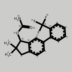 CC1(C)Cc2ccc(-c3ccccc3C(F)(F)F)cc2C1OC(N)=O